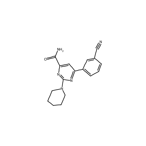 N#Cc1cccc(-c2cc(C(N)=O)nc(N3CCCCC3)n2)c1